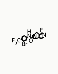 O=C(Nc1ccc(C(F)(F)F)c(Br)c1)N1C2CCC1c1ccnc(F)c1C2